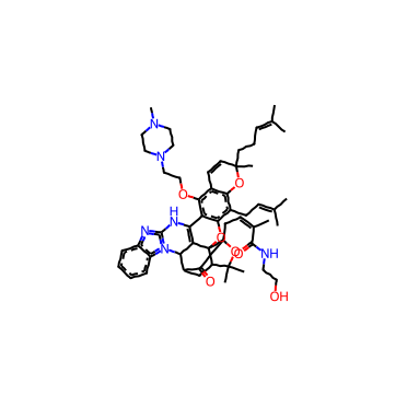 CC(C)=CCCC1(C)C=Cc2c(c(CC=C(C)C)c3c(c2OCCN2CCN(C)CC2)C2=C4C(C5CC6C(C)(C)OC(C/C=C(/C)C(=O)NCCO)(C5=O)C46O3)n3c(nc4ccccc43)N2)O1